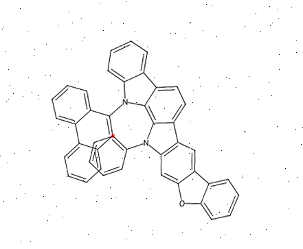 c1ccc(-n2c3cc4oc5ccccc5c4cc3c3ccc4c5ccccc5n(-c5cc6ccccc6c6ccccc56)c4c32)cc1